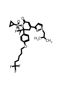 CC(C)Cn1ccc(C2=CC(=O)N(S(=O)(=O)C3CC3)C(c3ccc(OCCCCCC(F)(F)F)cc3)(C(F)(F)F)C2)n1